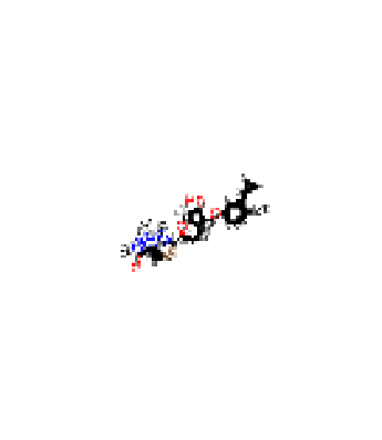 CCNC(=O)C1=CSC([C@H]2CC[C@@H]3[C@@H](COc4ccc(CC)c(C5CC5)c4)[C@@H](O)C[C@@H]3O2)N1C